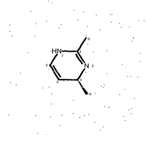 CC1=N[C@@H](C)C=CN1